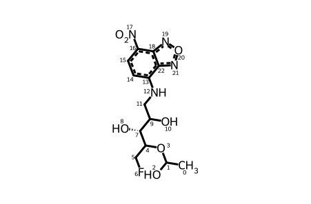 CC(O)OC(CF)[C@H](O)C(O)CNc1ccc([N+](=O)[O-])c2nonc12